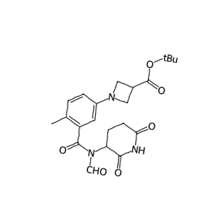 Cc1ccc(N2CC(C(=O)OC(C)(C)C)C2)cc1C(=O)N(C=O)C1CCC(=O)NC1=O